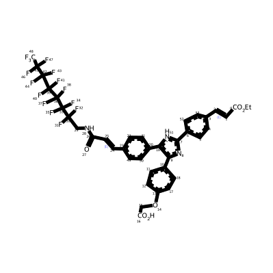 CCOC(=O)/C=C/c1ccc(-c2nc(-c3ccc(OCC(=O)O)cc3)c(-c3ccc(/C=C/C(=O)NCC(F)(F)C(F)(F)C(F)(F)C(F)(F)C(F)(F)C(F)(F)C(F)(F)F)cc3)[nH]2)cc1